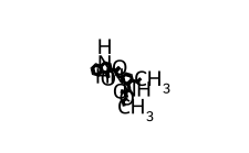 CCOC(=O)Nc1cc(NC(=O)c2c[nH]c3ccccc3c2=O)ccc1CC